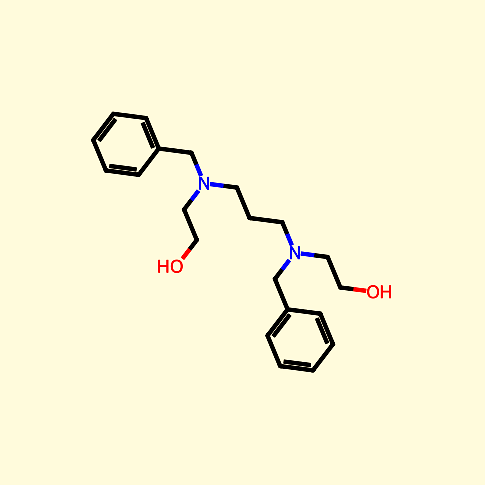 OCCN(CCCN(CCO)Cc1ccccc1)Cc1ccccc1